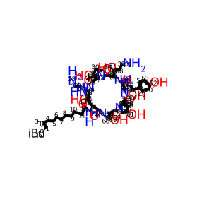 CC[C@H](C)C[C@H](C)CCCCCCCCC(=O)N[C@H]1C[C@@H](O)[C@@H](NCCN)NC(=O)[C@@H]2[C@@H](O)CCN2C(=O)[C@H]([C@H](O)CCN)NC(=O)[C@H](C[C@@H](O)c2ccc(O)cc2)NC(=O)[C@@H]2C[C@@H](O)CN2C(=O)[C@H]([C@@H](C)O)NC1=O